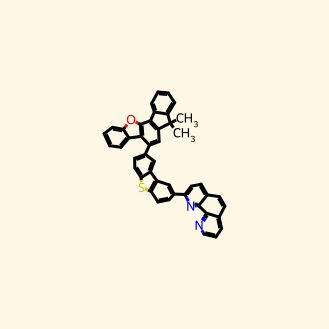 CC1(C)c2ccccc2-c2c1cc(-c1ccc3sc4ccc(-c5ccc6ccc7cccnc7c6n5)cc4c3c1)c1c2oc2ccccc21